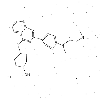 CN(C)CCN(C)c1ccc(-c2cc3ncccc3c(OC3CCC(O)CC3)n2)cc1